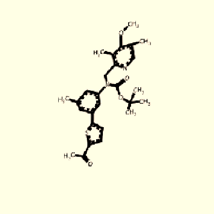 COc1c(C)cnc(CN(C(=O)OC(C)(C)C)c2cc(C)cc(-c3ccc(C(C)=O)s3)c2)c1C